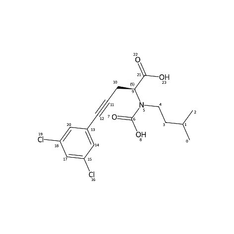 CC(C)CCN(C(=O)O)[C@@H](CC#Cc1cc(Cl)cc(Cl)c1)C(=O)O